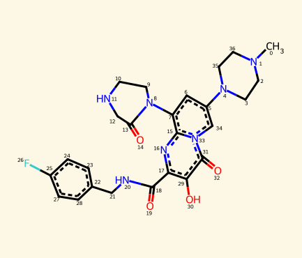 CN1CCN(c2cc(N3CCNCC3=O)c3nc(C(=O)NCc4ccc(F)cc4)c(O)c(=O)n3c2)CC1